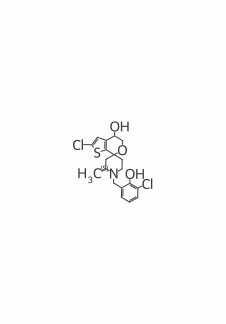 C[C@H]1CC2(CCN1Cc1cccc(Cl)c1O)OCC(O)c1cc(Cl)sc12